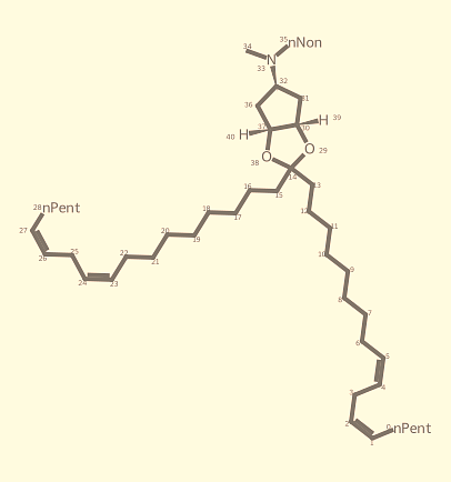 CCCCC/C=C\C/C=C\CCCCCCCCC1(CCCCCCCC/C=C\C/C=C\CCCCC)O[C@H]2C[C@H](N(C)CCCCCCCCC)C[C@H]2O1